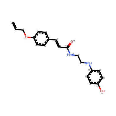 C=CCOc1ccc(/C=C/C(=O)NCCNc2ccc(O)cc2)cc1